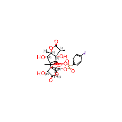 C[C@@H]1C(=O)O[C@H]2[C@H](O)C34C5OC(=O)[C@@]3(OC3OC(=O)[C@H](O)C34[C@H](C(C)(C)C)[C@H]5OS(=O)(=O)c3ccc(I)cc3)[C@@]12O